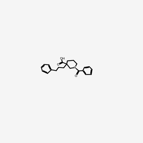 O=C(c1ccccc1)N1CCCC(CCCc2ccccc2)(C(=O)O)C1